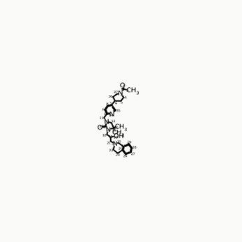 CC(=O)N1CCC(c2ccc(CN3CC(C)(C)N(CC(O)CN4CCc5ccccc5C4)C3=O)nc2)CC1